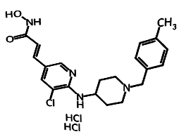 Cc1ccc(CN2CCC(Nc3ncc(C=CC(=O)NO)cc3Cl)CC2)cc1.Cl.Cl